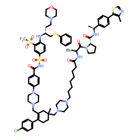 Cc1ncsc1-c1ccc([C@H](C)NC(=O)[C@@H]2CCCN2C(=O)C(NC(=O)CCCCCCCN2CCN(CC3(C)CCC(c4ccc(Cl)cc4)=C(CN4CCN(c5ccc(C(=O)NS(=O)(=O)c6ccc(N[C@H](CCN7CCOCC7)CSc7ccccc7)c(S(=O)(=O)C(F)(F)F)c6)cc5)CC4)C3)CC2)C(C)(C)C)cc1